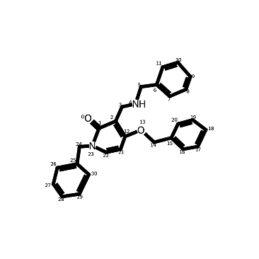 O=c1c(CNCc2ccccc2)c(OCc2ccccc2)ccn1Cc1ccccc1